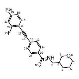 O=C(NCC1CCCOC1)c1ccc(C#Cc2ccc(F)cc2F)cc1